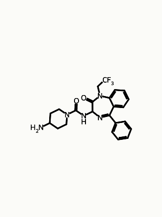 NC1CCN(C(=O)NC2N=C(c3ccccc3)c3ccccc3N(CC(F)(F)F)C2=O)CC1